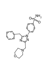 NS(=O)(=O)c1ccc(-n2nc(CN3CCOCC3)nc2Cc2ccccc2)cc1